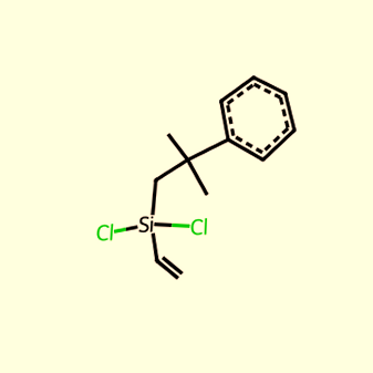 C=C[Si](Cl)(Cl)CC(C)(C)c1ccccc1